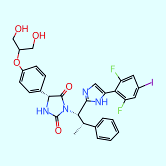 C[C@@H](c1ccccc1)[C@@H](c1ncc(-c2c(F)cc(I)cc2F)[nH]1)N1C(=O)N[C@H](c2ccc(OC(CO)CO)cc2)C1=O